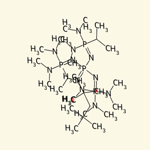 CC(C)P(=NP(=NC(C)(C)CC(C)(C)C)(N=P(C(C)C)(N(C)C)N(C)C)N=P(N(C)C)(N(C)C)N(C)C)(N(C)C)N(C)C